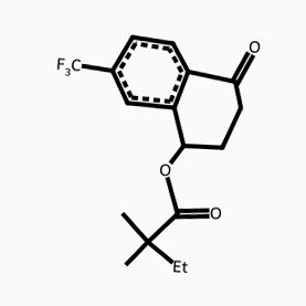 CCC(C)(C)C(=O)OC1CCC(=O)c2ccc(C(F)(F)F)cc21